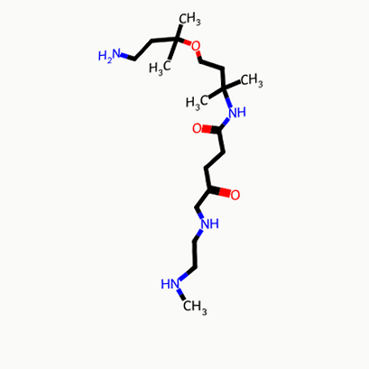 CNCCNCC(=O)CCC(=O)NC(C)(C)CCOC(C)(C)CCN